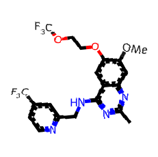 COc1cc2nc(C)nc(NCc3cc(C(F)(F)F)ccn3)c2cc1OCCOC(F)(F)F